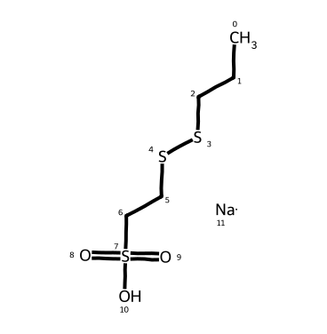 CCCSSCCS(=O)(=O)O.[Na]